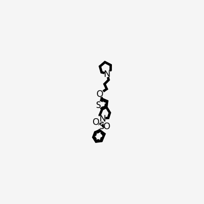 O=S(=O)(c1ccccc1)N1CCc2cc(OCCCN3CCCCC3)sc2C1